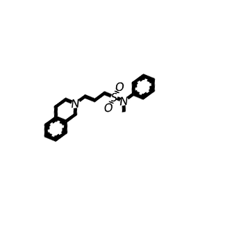 CN(c1ccccc1)S(=O)(=O)CCCN1CCc2ccccc2C1